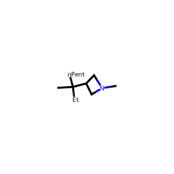 CCCCCC(C)(CC)C1CN(C)C1